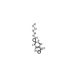 CCCCCCCOc1ccc(C(C)=O)c(C)c1